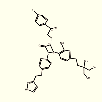 O=C1[C@H](CC[C@H](O)c2ccc(F)cc2)[C@@H](c2ccc(CCC(O)(CO)CO)cc2O)N1c1ccc(CCc2nc[nH]n2)cc1